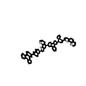 c1cnc2c(c1)ccc1ccc(-c3ccc(-c4ccc5c6ccc(-c7cc8ccc(-c9ccc%10cc(-c%11ccc%12c%13ccccc%13c%13ccccc%13c%12c%11)ccc%10c9)nc8c8ncccc78)cc6c6ccccc6c5c4)c4ccccc34)nc12